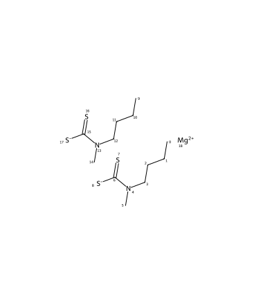 CCCCN(C)C(=S)[S-].CCCCN(C)C(=S)[S-].[Mg+2]